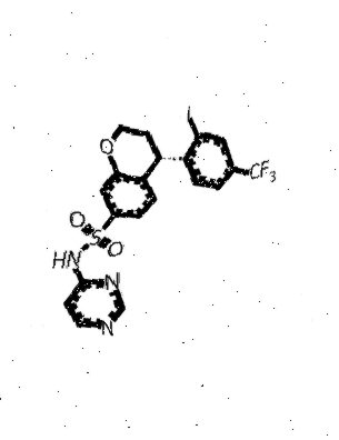 O=S(=O)(Nc1ccncn1)c1ccc2c(c1)OCC[C@@H]2c1ccc(C(F)(F)F)cc1I